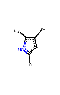 Cc1[nH]c(C(C)C)cc1C(C)C